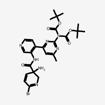 Cc1cc(-c2ccncc2NC(=O)C2(N)C=CC(Br)=NC2)nc(N(C(=O)OC(C)(C)C)C(=O)OC(C)(C)C)n1